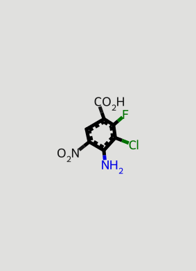 Nc1c([N+](=O)[O-])cc(C(=O)O)c(F)c1Cl